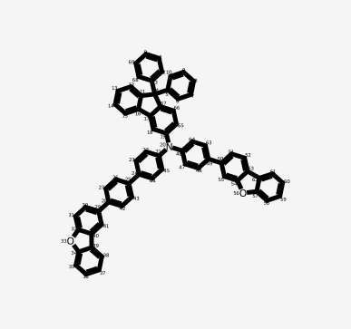 c1ccc(C2(c3ccccc3)c3ccccc3-c3cc(N(c4ccc(-c5ccc(-c6ccc7oc8ccccc8c7c6)cc5)cc4)c4ccc(-c5ccc6c(c5)oc5ccccc56)cc4)ccc32)cc1